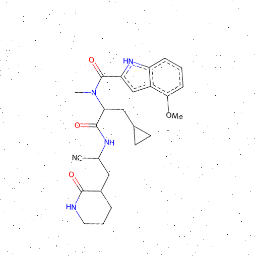 COc1cccc2[nH]c(C(=O)N(C)C(CC3CC3)C(=O)NC(C#N)CC3CCCNC3=O)cc12